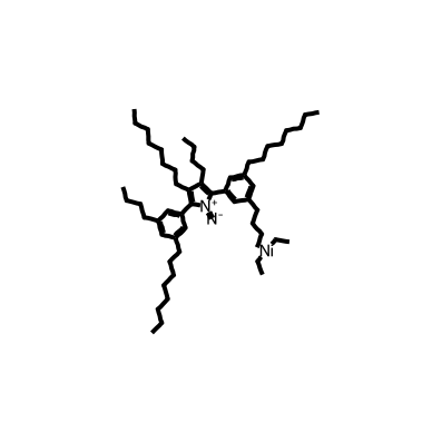 CCCCCCCCC1=C(c2cc(CCCC)cc(CCCCCCCC)c2)[N+](=[N-])C(c2cc(CCCC)cc(CCCCCCCC)c2)=C1CCCC.C[CH2][Ni][CH2]C